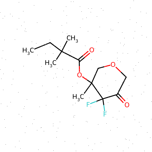 CCC(C)(C)C(=O)OC1(C)COCC(=O)C1(F)F